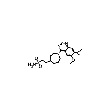 COc1cc2ncnc(N3CCCC(CCS(N)(=O)=O)CC3)c2cc1OC